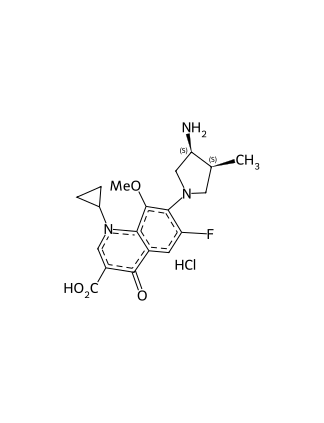 COc1c(N2C[C@@H](N)[C@@H](C)C2)c(F)cc2c(=O)c(C(=O)O)cn(C3CC3)c12.Cl